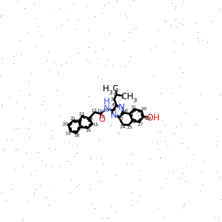 CC(C)Cc1nc2c(nc1NC(=O)Cc1ccc3ccccc3c1)CCc1cc(O)ccc1-2